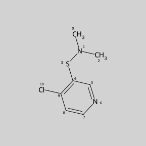 CN(C)Sc1cnccc1Cl